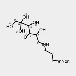 CCCCCCCCCCCCNC[C@H](O)[C@@H](O)[C@H](O)C(O)(O)CO